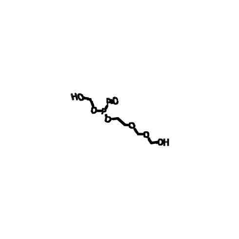 O=PP(OCO)OCCOCOCO